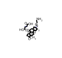 C[C@]12CC/C(=N/OCCN)CC1CC(=O)[C@@H]1[C@@H]2CC[C@]2(C)C(=O)CC[C@@H]12.O=C(O)/C=C/C(=O)O